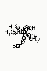 COCCN(CCOC)Cc1nc(C)c(CC(=O)O)c(N2CCC(C)(C)CC2)c1-c1ccc(OCCc2ccc(F)cc2)cc1